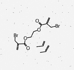 C=C(CBr)C(=O)OCCOC(=O)C(=C)CBr.C=CC.C=CC